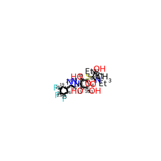 CCN(C)C(=O)[C@@H](S[C@@H]1O[C@H](CO)[C@H](O)[C@H](n2cc(-c3cc(F)c(F)c(F)c3)nn2)[C@H]1O)C(O)(CC)CC